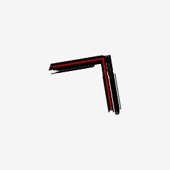 [Ag].[Ag].[Ag].[Ag].[Ag].[Ag].[Ag].[Ag].[Ag].[Ag].[Ag].[Ag].[Ag].[Ag].[Ag].[Ag].[Ag].[Ag].[Ag].[Ag].[Ag].[Ag].[Ag].[Ag].[Ag].[Ag].[Ag].[Ag].[Ag].[Ag].[Ag].[Ag].[Ag].[Ag].[Ag].[Ag].[Ag].[Ag].[Ag].[Ag].[Ag].[Ag].[Ag].[Ag].[Ag].[Ag].[Ag].[Ag].[Ag].[Ag].[Ag].[Ag].[Ag].[Ag].[Ag].[Ag].[Ag].[Ag].[Ag].[Ag].[Ag].[Ag].[Ag].[Ag].[Ag].[Ag].[Ag].[Ag].[Ag].[Ag].[Pd].[Pd].[Pd].[Pd].[Pd].[Pd].[Pd].[Pd].[Pd].[Pd].[Pd].[Pd].[Pd].[Pd].[Pd].[Pd].[Pd].[Pd].[Pd].[Pd].[Pd].[Pd].[Pd].[Pd].[Pd].[Pd].[Pd].[Pd].[Pd].[Pd]